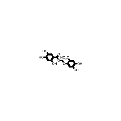 O=C(OCOc1cc(O)c(O)cc1C(=O)O)c1cc(O)c(O)cc1O